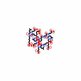 COC(=O)CCCCCNC(=O)C(CC(C)C)N(CCC(=O)OC)C(=O)CCCCCN(C(=O)CCCC(=O)N(CCC(=O)OC)C(CC(C)C)C(=O)NCCCCCC(=O)OC)C(CCCC(=O)N(CCC(=O)OC)C(CC(C)C)C(=O)NCCCCCC(=O)OC)C(=O)NCCC(=O)N(CCC(=O)OC)C(CC(C)C)C(=O)NCCCCCC(=O)OC